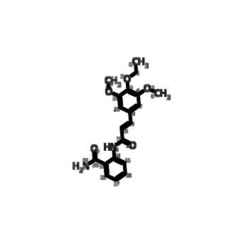 CCOc1c(OC)cc(/C=C/C(=O)Nc2ccccc2C(N)=O)cc1OC